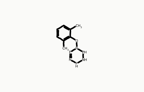 Cc1cccc(C)c1On1pn[pH][nH][pH]1